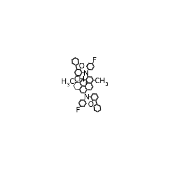 Cc1cc(N(c2ccc(F)cc2)c2cccc3c2oc2ccccc23)c2cc3c4c(cc(N(c5ccc(F)cc5)c5cccc6c5oc5ccccc56)c5ccc1c2c54)CCC3(C)C